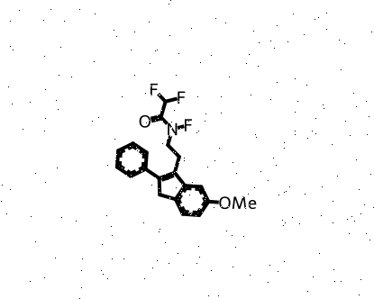 COc1ccc2c(c1)C(CCN(F)C(=O)C(F)F)=C(c1ccccc1)C2